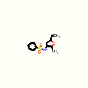 C=CC1CC(NS(=O)(=O)c2ccccc2)=C(C)O1